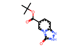 CC(C)(C)OC(=O)c1ccc2n[nH]c(=O)n2c1